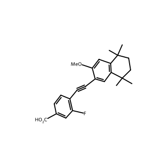 COc1cc2c(cc1C#Cc1ccc(C(=O)O)cc1F)C(C)(C)CCC2(C)C